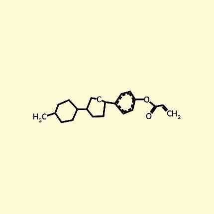 C=CC(=O)Oc1ccc(C2CCC(C3CCC(C)CC3)CC2)cc1